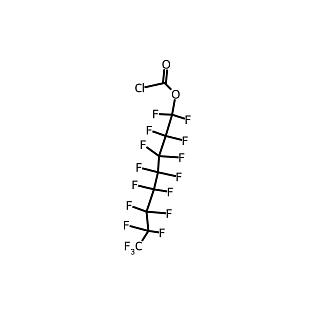 O=C(Cl)OC(F)(F)C(F)(F)C(F)(F)C(F)(F)C(F)(F)C(F)(F)C(F)(F)C(F)(F)F